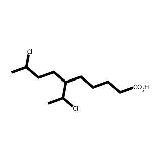 CC(Cl)CCC(CCCCC(=O)O)C(C)Cl